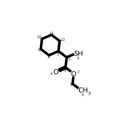 CCOC(=O)C(S)C1CCCCC1